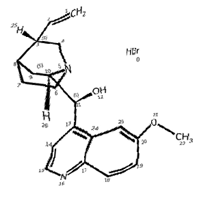 Br.C=C[C@@H]1CN2CCC1C[C@H]2[C@@H](O)c1ccnc2ccc(OC)cc12